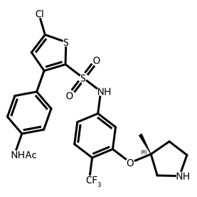 CC(=O)Nc1ccc(-c2cc(Cl)sc2S(=O)(=O)Nc2ccc(C(F)(F)F)c(O[C@]3(C)CCNC3)c2)cc1